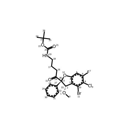 CO[C@H]1c2c(cc(F)c(Cl)c2Br)O[C@]1(C(=O)CCCNC(=O)OC(C)(C)C)c1ccccc1